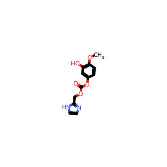 COc1ccc(OC(=O)OCc2ncc[nH]2)cc1O